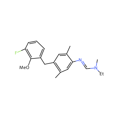 CCN(C)C=Nc1cc(C)c(Cc2cccc(F)c2OC)cc1C